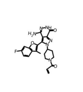 C=CC(=O)N1CCC(n2nc3c(=O)[nH]nc(N)c3c2-c2oc3cc(F)ccc3c2C)CC1